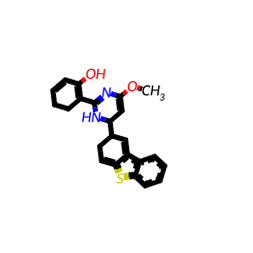 COC1=CC(C2C=c3c(sc4ccccc34)=CC2)NC(C2=C(O)C=CCC2)=N1